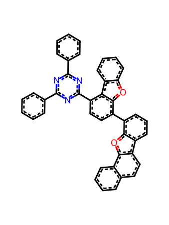 c1ccc(-c2nc(-c3ccccc3)nc(-c3ccc(-c4cccc5c4oc4c6ccccc6ccc54)c4oc5ccccc5c34)n2)cc1